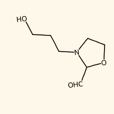 O=CC1OCCN1CCCO